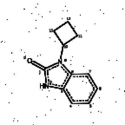 O=c1[nH]c2ccccc2n1C1CCC1